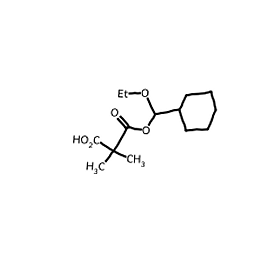 CCOC(OC(=O)C(C)(C)C(=O)O)C1CCCCC1